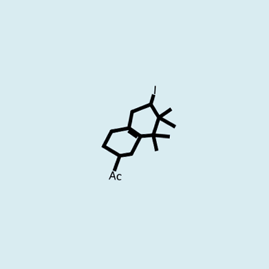 CC(=O)C1CCC2=C(C1)C(C)(C)C(C)(C)C(I)C2